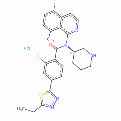 CCc1nnc(-c2ccc(C(=O)N(c3nccc4c(F)ccc(C)c34)[C@@H]3CCCNC3)c(F)c2)s1.Cl